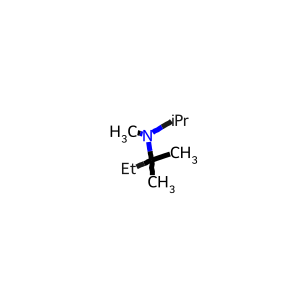 CCC(C)(C)N(C)C(C)C